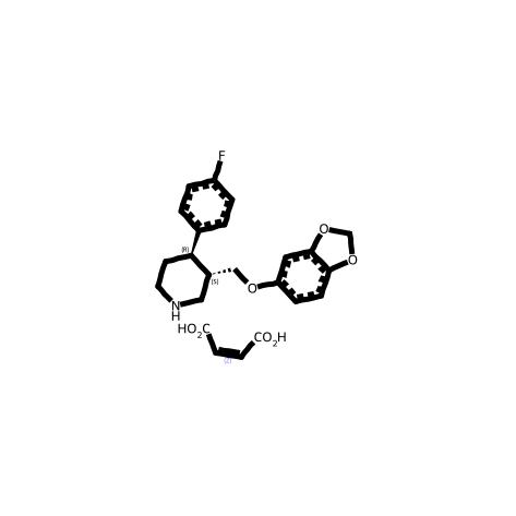 Fc1ccc([C@@H]2CCNC[C@H]2COc2ccc3c(c2)OCO3)cc1.O=C(O)/C=C\C(=O)O